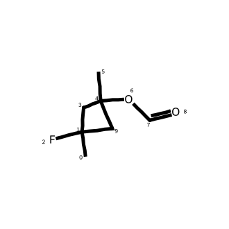 CC1(F)CC(C)(OC=O)C1